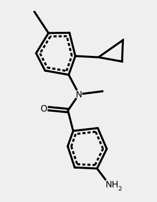 Cc1ccc(N(C)C(=O)c2ccc(N)cc2)c(C2CC2)c1